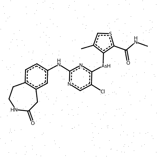 CNC(=O)c1scc(C)c1[AsH]c1nc(Nc2ccc3c(c2)CC(=O)NCC3)ncc1Cl